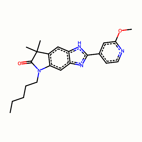 CCCCCN1C(=O)C(C)(C)c2cc3[nH]c(-c4ccnc(OC)c4)nc3cc21